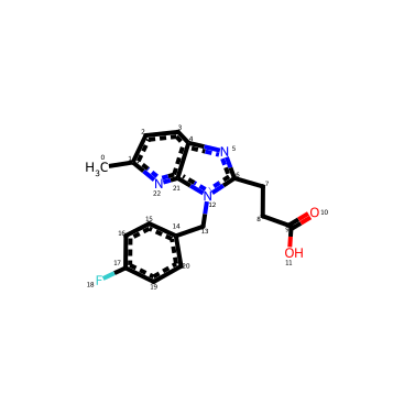 Cc1ccc2nc(CCC(=O)O)n(Cc3ccc(F)cc3)c2n1